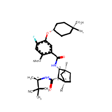 COc1cc(F)c(O[C@H]2CC[C@@](C)(C(=O)O)CC2)cc1C(=O)N[C@@H]1[C@H]2CC[C@H](C2)[C@@H]1C(=O)N[C@H](C)C(C)(C)C#N